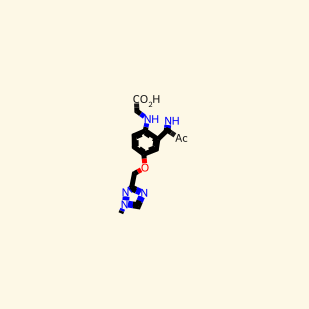 CC(=O)C(=N)c1cc(OCc2ncn(C)n2)ccc1NCC(=O)O